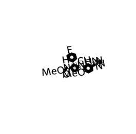 COC(=O)N[C@H]1CC[C@H](N(C)c2cc(-c3nnn[nH]3)ccc2OC)[C@H]1c1ccc(F)cc1